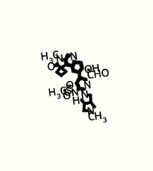 CN1CC2CN(c3ncc(-c4ccc5ncc6c(c5c4)C4(CCC4)C(=O)N6C)cc3NS(C)(=O)=O)CC2C1.O=CO